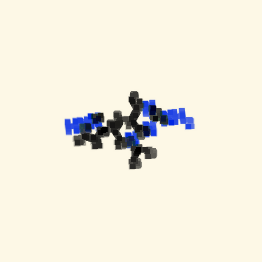 Cc1nc(N)nc2c1C=C(c1cc[nH]n1)CN2C(C)C